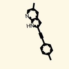 Cc1ccc(C#Cc2cc3cc(C)cnc3[nH]2)cc1